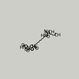 C#CCCCC(C)C(=[N+]=[N-])C(=O)NCCCCCCCCCCC(=C=O)N1CCC2c3c(cccc31)C(=O)N2C1CCC(=O)NC1=O